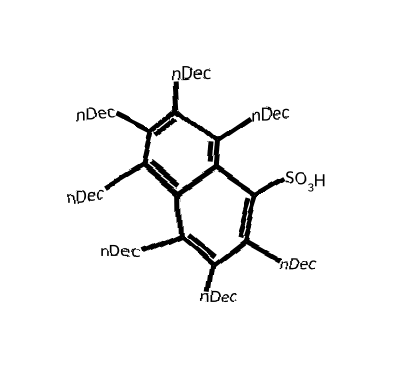 CCCCCCCCCCc1c(CCCCCCCCCC)c(CCCCCCCCCC)c2c(S(=O)(=O)O)c(CCCCCCCCCC)c(CCCCCCCCCC)c(CCCCCCCCCC)c2c1CCCCCCCCCC